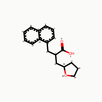 O=C(O)C(Cc1cccc2ccccc12)CC1CCCO1